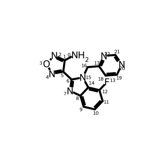 Nc1nonc1-c1nc2cccc(F)c2n1Cc1ccncn1